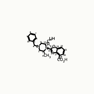 C[C@H]1CN(Cc2ccccc2)C[C@H](C)N1c1nc2c(C(=O)O)cccc2o1.[LiH]